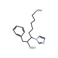 CCCCCCCCCCCCCCCC(C(CCCCCCCC)Cc1ccccc1)n1ccnc1